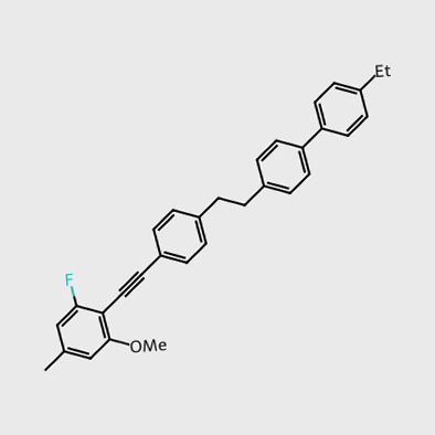 CCc1ccc(-c2ccc(CCc3ccc(C#Cc4c(F)cc(C)cc4OC)cc3)cc2)cc1